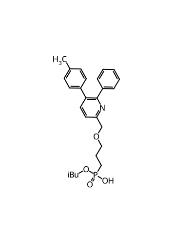 CCC(C)OP(=O)(O)CCCOCc1ccc(-c2ccc(C)cc2)c(-c2ccccc2)n1